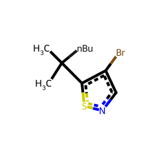 CCCCC(C)(C)c1sncc1Br